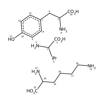 CC(C)C(N)C(=O)O.NC(Cc1ccc(O)cc1)C(=O)O.NCCCCC(N)C(=O)O